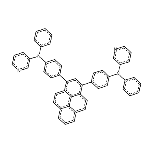 c1ccc(N(c2ccc(-c3cc(-c4ccc(N(c5ccccc5)c5cccnc5)cc4)c4ccc5cccc6ccc3c4c65)cc2)c2cccnc2)cc1